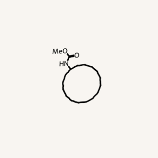 COC(=O)NC1CCCCCCCCCCCCCCC1